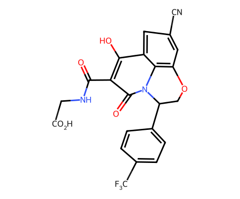 N#Cc1cc2c3c(c1)c(O)c(C(=O)NCC(=O)O)c(=O)n3C(c1ccc(C(F)(F)F)cc1)CO2